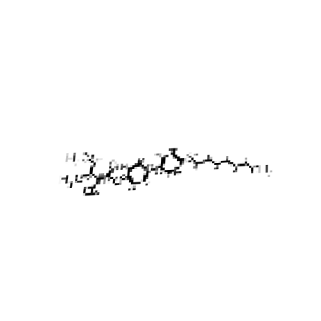 CCCCCCCSc1ncc(-c2ccc(OC(=O)[C@@H](Cl)C(C)CC)cc2)cn1